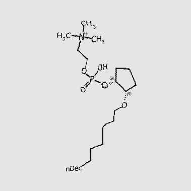 CCCCCCCCCCCCCCCCO[C@H]1CCC[C@H]1OP(=O)(O)OCC[N+](C)(C)C